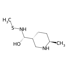 CSN[C@@H](O)[C@@H]1CC[C@@H](C)NC1